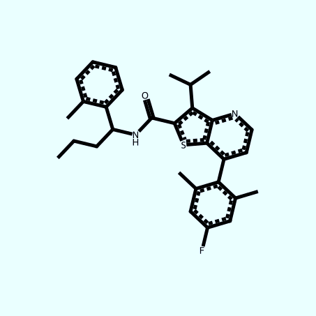 CCCC(NC(=O)c1sc2c(-c3c(C)cc(F)cc3C)ccnc2c1C(C)C)c1ccccc1C